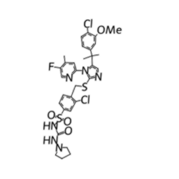 COc1cc(C(C)(C)c2cnc(SCc3ccc(S(=O)(=O)NC(=O)NN4CCCC4)cc3Cl)n2-c2cc(C)c(F)cn2)ccc1Cl